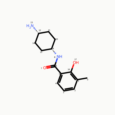 Cc1cccc(C(=O)N[C@H]2CC[C@@H](N)CC2)c1O